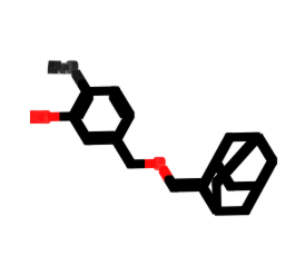 COc1ccc(COC=C2C3CC4CC(C3)CC2C4)cc1O